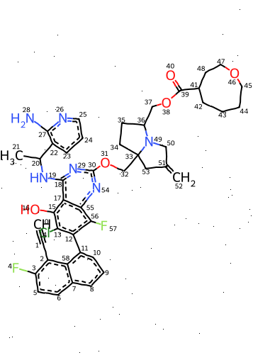 C#Cc1c(F)ccc2cccc(-c3c(Cl)c(O)c4c(NC(C)c5cccnc5N)nc(OCC56CCC(COC(=O)C7CCCCOCC7)N5CC(=C)C6)nc4c3F)c12